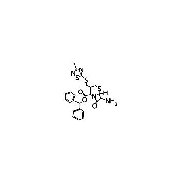 Cc1nsc(SCC2=C(C(=O)OC(c3ccccc3)c3ccccc3)N3C(=O)C(N)[C@H]3SC2)n1